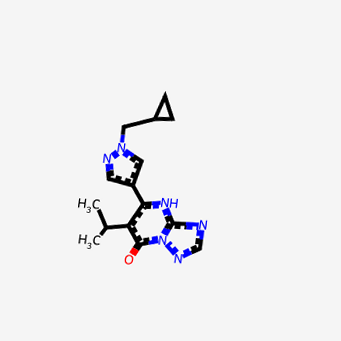 CC(C)c1c(-c2cnn(CC3CC3)c2)[nH]c2ncnn2c1=O